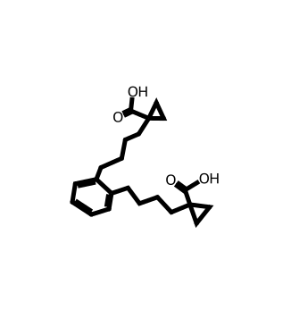 O=C(O)C1(CCCCc2ccccc2CCCCC2(C(=O)O)CC2)CC1